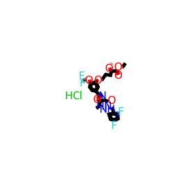 CCOC(=O)C(CCCOc1cc(-c2nc(C(=O)NCc3ccc(F)cc3F)c(C(C)N)o2)ccc1OC(F)F)OC.Cl